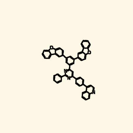 c1ccc(-c2nc(-c3ccc(-c4ccnc5ccccc45)cc3)cc(-c3cc(-c4ccc5oc6ccccc6c5c4)cc(-c4ccc5oc6ccccc6c5c4)c3)n2)cc1